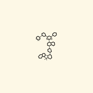 CC1(C)c2cccc(-c3ccc(-c4ccc(-c5nc(-c6ccccc6)cc(-c6cccc(-c7cccnc7)c6)n5)c5ccccc45)cc3)c2-c2ccc3ccccc3c21